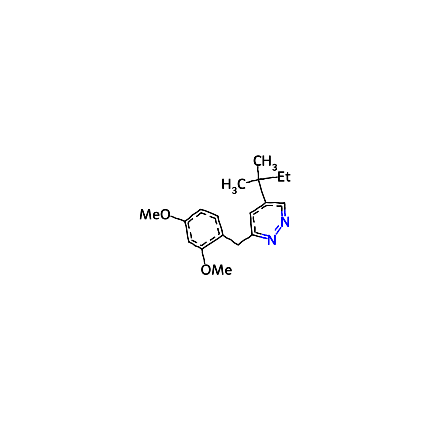 CCC(C)(C)c1cnnc(Cc2ccc(OC)cc2OC)c1